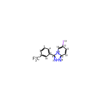 FC(F)(F)c1cccc(-c2nnc3ccc(I)cn23)c1